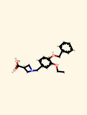 CCOc1cc(CN2CC(C(=O)O)C2)ccc1OCc1ccccc1